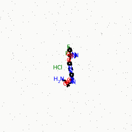 CC(C)(C)C(Cn1ncn(-c2ccc(N3CCN(c4ccc(OCC5CO[C@@](Cn6cncn6)(c6ccc(F)cc6F)O5)cc4)CC3)cc2)c1=O)OC(=O)CCN.Cl